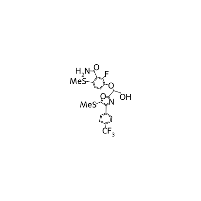 CSc1ccc(OC(CO)c2nc(-c3ccc(C(F)(F)F)cc3)c(SC)o2)c(F)c1C(N)=O